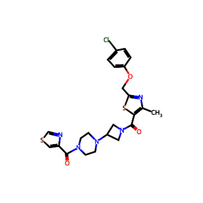 Cc1nc(COc2ccc(Cl)cc2)sc1C(=O)N1CC(N2CCN(C(=O)c3cscn3)CC2)C1